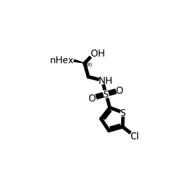 CCCCCC[C@@H](O)CNS(=O)(=O)c1ccc(Cl)s1